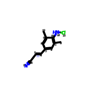 Cc1cc(/C=C/C#N)cc(C)c1NCl